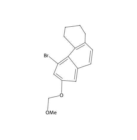 COCOc1cc(Br)c2c3c(ccc2c1)CCCC3